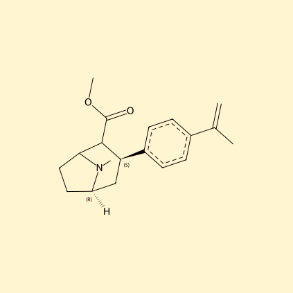 C=C(C)c1ccc([C@H]2C[C@H]3CCC(C2C(=O)OC)N3C)cc1